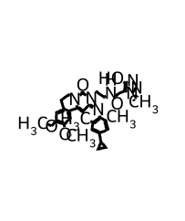 COc1cc2c(cc1OC)-c1cc(=Nc3c(C)cc(C4CC4)cc3C)n(CCNC(=O)c3c(O)nnn3C)c(=O)n1CC2